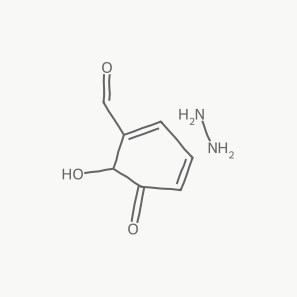 NN.O=CC1=CC=CC(=O)C1O